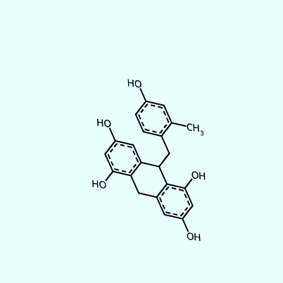 Cc1cc(O)ccc1CC1c2cc(O)cc(O)c2Cc2cc(O)cc(O)c21